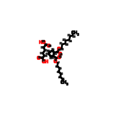 CCCCCCCCOC(=O)c1ccccc1C(=O)OCCCCCCCC.O=C(O)CCCCC(=O)O